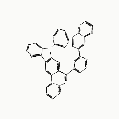 c1ccc(-n2c3ccccc3c3cc4c(cc32)c(-c2cccc(-c3ccc5ncccc5n3)c2)nc2ccccc24)cc1